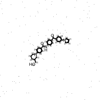 O=C(Nc1ccc(C(=O)c2ccc(-n3cccc3)cc2)cc1)c1ccc(N2CCCC(CO)C2)cc1